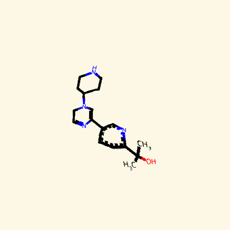 CC(C)(O)c1ccc(C2=CN(C3CCNCC3)CC=N2)cn1